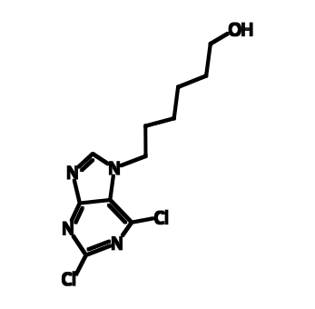 OCCCCCCn1cnc2nc(Cl)nc(Cl)c21